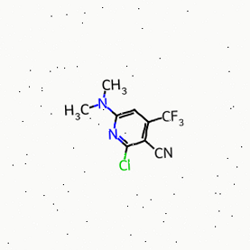 CN(C)c1cc(C(F)(F)F)c(C#N)c(Cl)n1